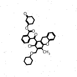 Cc1c(COC2CCCCC2)c(Cl)c(C(=O)c2ccccc2C(=O)OC2=CC(=O)CCC2)c2c1Oc1ccccc1C2